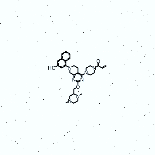 C=CC(=O)N1CCN(c2nc(OCC3CN(C)CCN3C)nc3c2CCN(c2cc(O)cc4ccccc24)C3)CC1